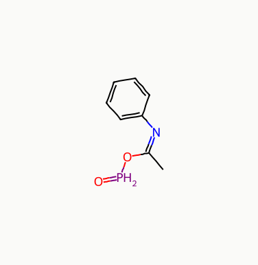 CC(=Nc1ccccc1)O[PH2]=O